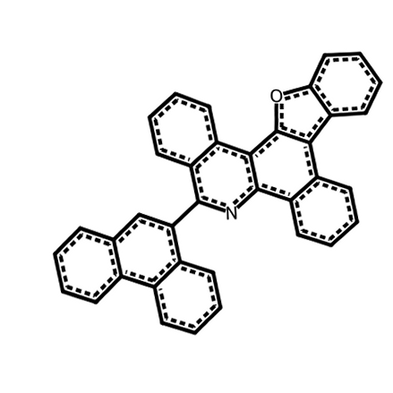 c1ccc2c(c1)cc(-c1nc3c4ccccc4c4c5ccccc5oc4c3c3ccccc13)c1ccccc12